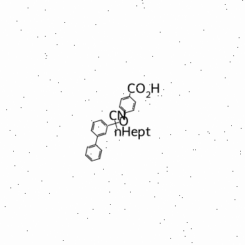 CCCCCCCC(C#N)(Oc1ccc(C(=O)O)cc1)c1cccc(-c2ccccc2)c1